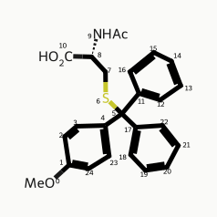 COc1ccc(C(SC[C@@H](NC(C)=O)C(=O)O)(c2ccccc2)c2ccccc2)cc1